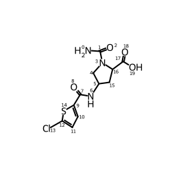 NC(=O)N1CC(NC(=O)c2ccc(Cl)s2)CC1C(=O)O